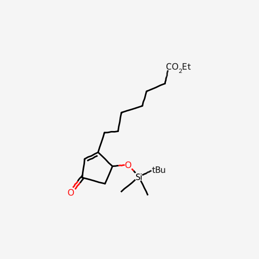 CCOC(=O)CCCCCCC1=CC(=O)CC1O[Si](C)(C)C(C)(C)C